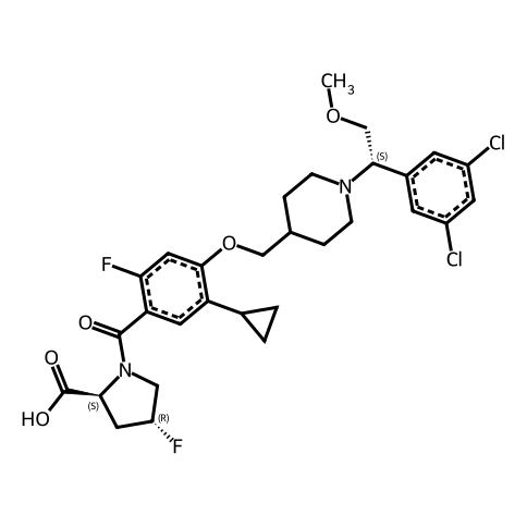 COC[C@H](c1cc(Cl)cc(Cl)c1)N1CCC(COc2cc(F)c(C(=O)N3C[C@H](F)C[C@H]3C(=O)O)cc2C2CC2)CC1